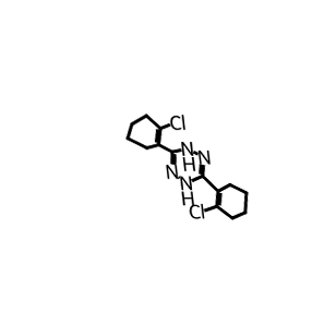 ClC1=C(C2=NNC(C3=C(Cl)CCCC3)=NN2)CCCC1